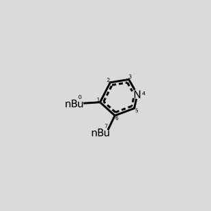 CCCCc1ccncc1CCCC